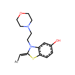 CC(=O)/C=C1\Sc2ccc(O)cc2N1CCN1CCOCC1